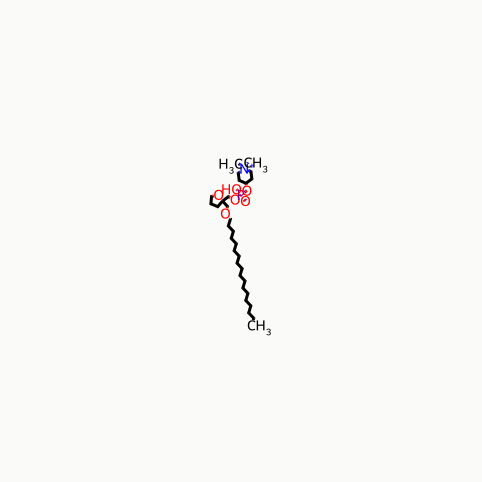 CCCCCCCCCCCCCCCCCCOCC1(COP(=O)(O)OC2CC[N+](C)(C)CC2)CCCO1